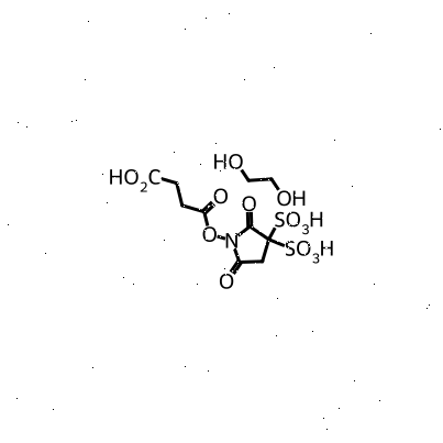 O=C(O)CCC(=O)ON1C(=O)CC(S(=O)(=O)O)(S(=O)(=O)O)C1=O.OCCO